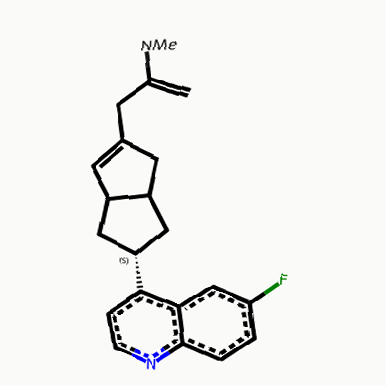 C=C(CC1=CC2C[C@@H](c3ccnc4ccc(F)cc34)CC2C1)NC